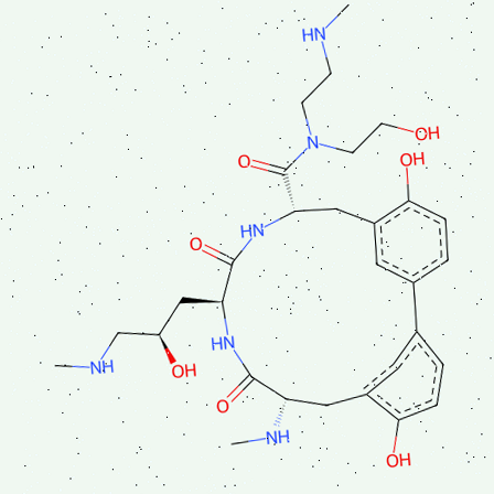 CNCCN(CCO)C(=O)[C@@H]1Cc2cc(ccc2O)-c2ccc(O)c(c2)C[C@H](NC)C(=O)N[C@@H](C[C@@H](O)CNC)C(=O)N1